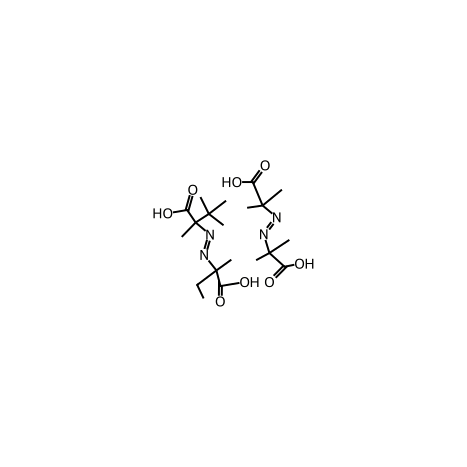 CC(C)(N=NC(C)(C)C(=O)O)C(=O)O.CCC(C)(N=NC(C)(C(=O)O)C(C)(C)C)C(=O)O